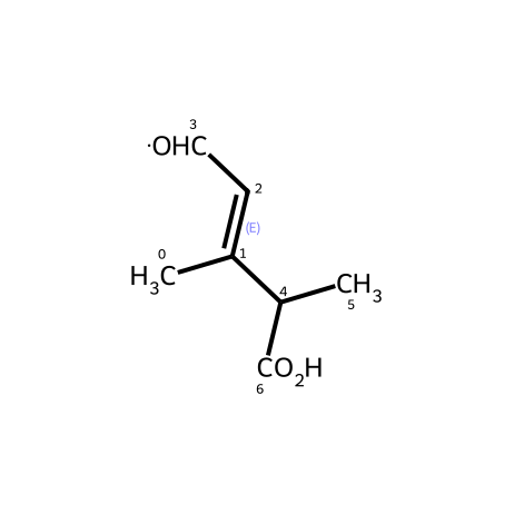 C/C(=C\[C]=O)C(C)C(=O)O